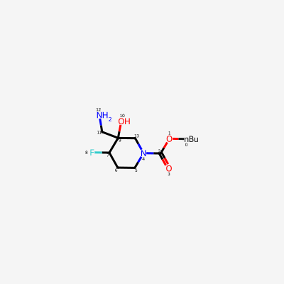 CCCCOC(=O)N1CCC(F)C(O)(CN)C1